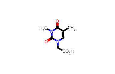 Cc1cn(CC(=O)O)c(=O)n(C)c1=O